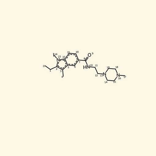 CCc1c(C)c2cc(C(=O)NCCN3CCN(C)CC3)ccc2n1I